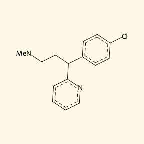 CNCCC(c1ccc(Cl)cc1)c1ccccn1